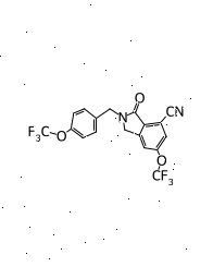 N#Cc1cc(OC(F)(F)F)cc2c1C(=O)N(Cc1ccc(OC(F)(F)F)cc1)C2